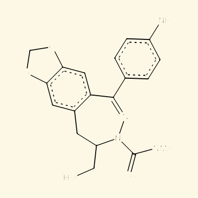 CNC(=O)N1N=C(c2ccc(N)cc2)c2cc3c(cc2CC1CO)OCO3